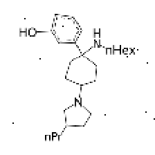 CCCCCCNC1(c2cccc(O)c2)CCC(N2CCC(CCC)C2)CC1